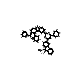 CC1(C)c2ccccc2-c2cc(-c3cc(-c4ccccc4)nc(-c4ccc5sc6ccc7c(-c8ccccc8)nc8ccccc8c7c6c5c4)n3)ccc21